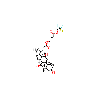 C[C@@H](CCC(=O)OCCCC(=O)OCC(F)(F)S)C1CC[C@H]2[C@@H]3C(=O)C[C@@H]4CC(=O)CC[C@]4(C)[C@H]3CC(=O)[C@]12C